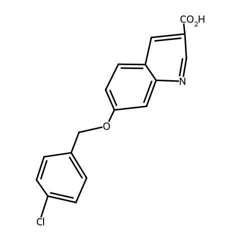 O=C(O)c1cnc2cc(OCc3ccc(Cl)cc3)ccc2c1